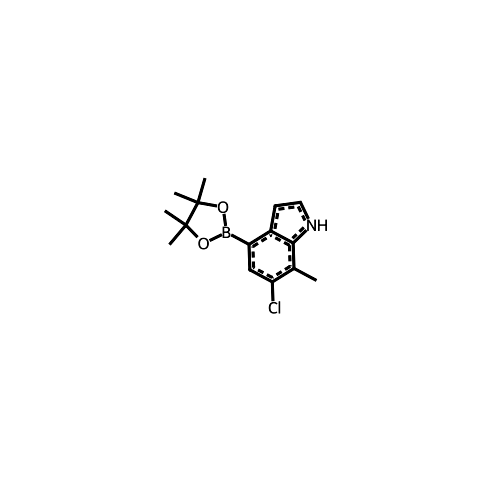 Cc1c(Cl)cc(B2OC(C)(C)C(C)(C)O2)c2cc[nH]c12